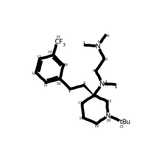 CN(C)CCN(C)[C@@]1(CCc2cccc(C(F)(F)F)c2)CCCN(C(C)(C)C)C1